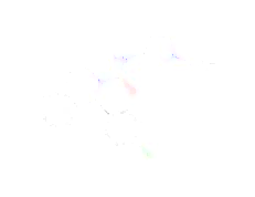 O=C(O)N1CCC(NC(=O)N2CCc3ccccc3[C@@H]2c2ccc(F)cc2)C1